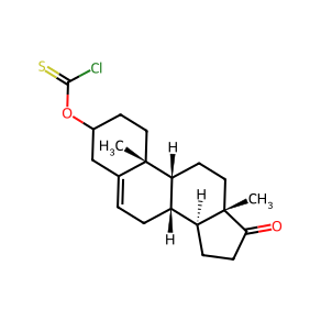 C[C@]12CCC(OC(=S)Cl)CC1=CC[C@@H]1[C@H]2CC[C@]2(C)C(=O)CC[C@@H]12